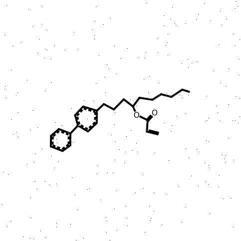 C=CC(=O)OC(CCCCCC)CCCc1ccc(-c2ccccc2)cc1